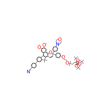 COc1cc2c3c(c4c(c2cc1OC)-c1ccc(-c2ccc(C#N)cc2)cc1C4(C)C)C=CC(c1ccc(OCCOC(C)(C)CC[Si](OC(C)(C)C)(OC(C)(C)C)OC(C)(C)C)cc1)(c1ccc(N2CCOCC2)cc1)O3